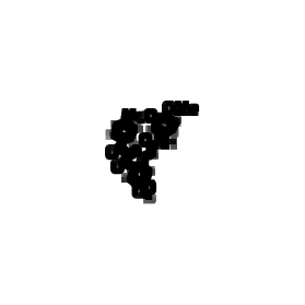 COc1ccc(NC(=O)Cn2cc(C(=O)c3ccccc3)c(=O)c3cc4c(cc32)OCO4)cc1OC